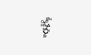 CC(C)(C)OC(=O)NC1(c2ncc(Br)cn2)CC1